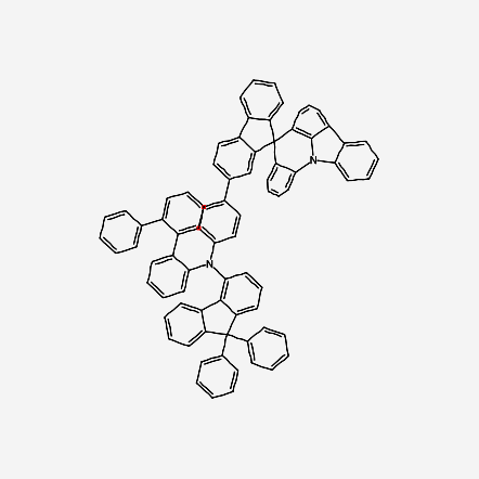 c1ccc(-c2ccccc2-c2ccccc2N(c2ccc(-c3ccc4c(c3)C3(c5ccccc5-4)c4ccccc4-n4c5ccccc5c5cccc3c54)cc2)c2cccc3c2-c2ccccc2C3(c2ccccc2)c2ccccc2)cc1